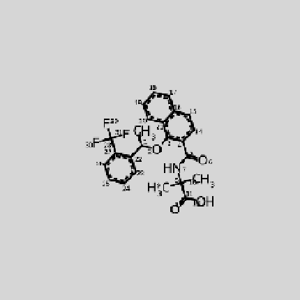 CC(Oc1c(C(=O)NC(C)(C)C(=O)O)ccc2ccccc12)c1ccccc1C(F)(F)F